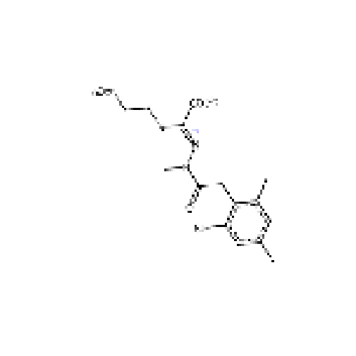 CCCCCCCCCCCCS/C(=N\N(C)C(=O)Cc1c(C)cc(C)cc1Br)C(=O)OCC